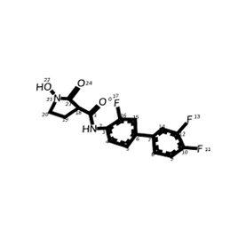 O=C(Nc1ccc(-c2ccc(F)c(F)c2)cc1F)C1CCN(O)C1=O